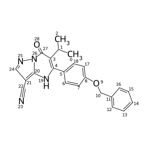 CC(C)c1c(-c2ccc(OCc3ccccc3)cc2)[nH]c2c(C#N)cnn2c1=O